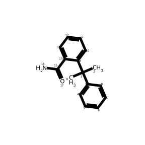 CC(C)(c1ccccc1)c1ccccc1C(N)=O